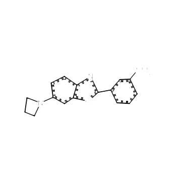 O=C(O)c1cccc(-c2nc3ccc(N4CCC4)cc3o2)c1